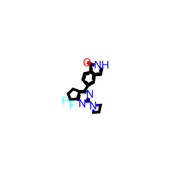 O=c1[nH]ccc2cc(-c3nc(N4CCC4)nc4c3CCC4(F)F)ccc12